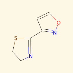 c1cc(C2=NCCS2)no1